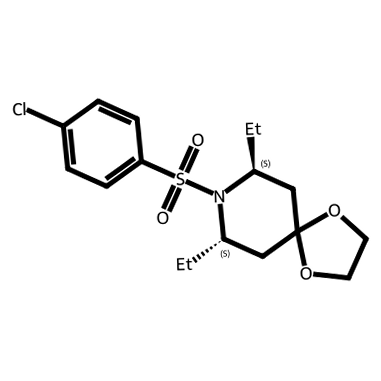 CC[C@H]1CC2(C[C@H](CC)N1S(=O)(=O)c1ccc(Cl)cc1)OCCO2